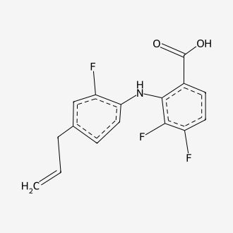 C=CCc1ccc(Nc2c(C(=O)O)ccc(F)c2F)c(F)c1